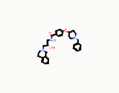 O=C(NC[C@H](O)CN1CCc2ccccc2C1)c1ccc(OC2CCN(Cc3ccccc3)CC2)cc1